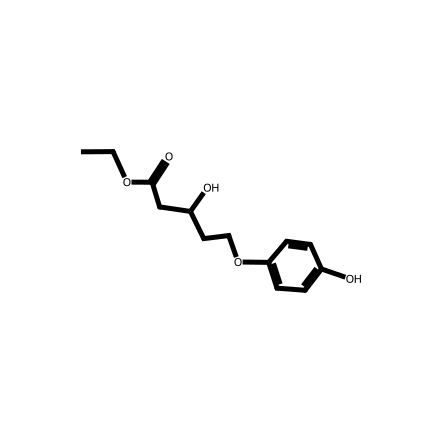 CCOC(=O)CC(O)CCOc1ccc(O)cc1